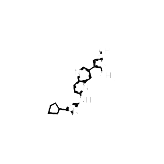 Cc1nn(C)cc1-c1cnc2ccc(Nc3nnc(C4CCCC4)s3)nc2c1